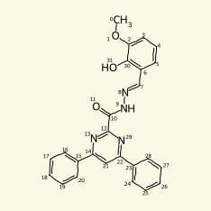 COc1cccc(/C=N/NC(=O)c2nc(-c3ccccc3)cc(-c3ccccc3)n2)c1O